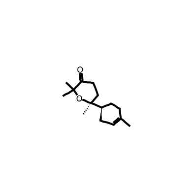 CC1=CC[C@@H]([C@]2(C)CCC(=O)C(C)(C)O2)CC1